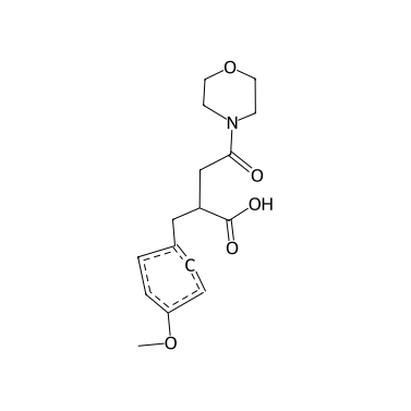 COc1ccc(CC(CC(=O)N2CCOCC2)C(=O)O)cc1